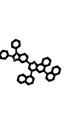 c1ccc(-c2nc3cc(-c4cc(-c5cccc6ccccc56)c5cc(-c6cccc7ccccc67)c6ccccc6c5n4)ccc3n2-c2ccccc2)cc1